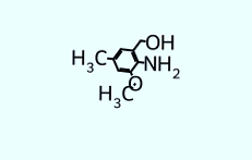 COc1cc(C)cc(CO)c1N